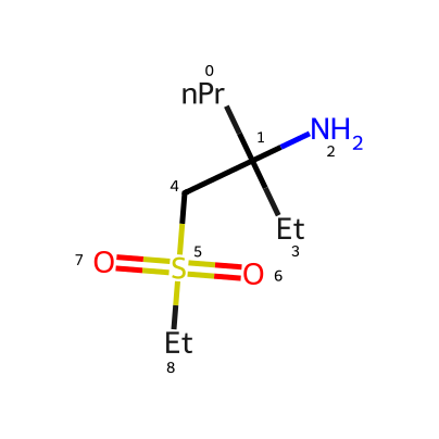 CCCC(N)(CC)CS(=O)(=O)CC